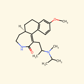 COc1ccc2c(c1)CC[C@@H]1CCNC(=O)C(CC(C)N(C)C(C)C)=C21